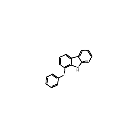 c1ccc(Sc2cccc3c2[nH]c2ccccc23)cc1